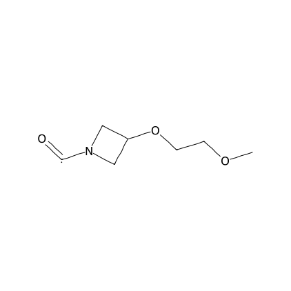 COCCOC1CN([C]=O)C1